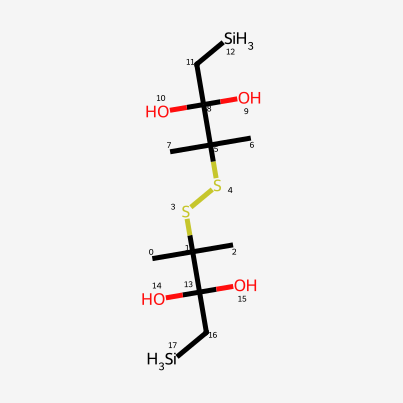 CC(C)(SSC(C)(C)C(O)(O)C[SiH3])C(O)(O)C[SiH3]